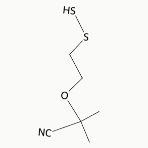 CC(C)(C#N)OCCSS